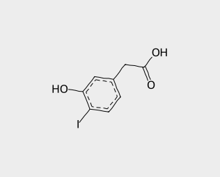 O=C(O)Cc1ccc(I)c(O)c1